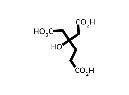 O=C(O)CCC(O)(CC(=O)O)CC(=O)O